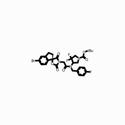 CC(C)(C)OC(=O)N1CC(N(Cc2ccc(F)cc2)C(=O)CN2C(=O)O[C@@]3(CCc4cc(Br)ccc43)C2=O)C(F)(F)C1